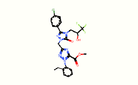 CCc1ccccc1-n1nc(Cn2nc(-c3ccc(Cl)cc3)n(CC(O)C(F)(F)F)c2=O)nc1C(=O)OC